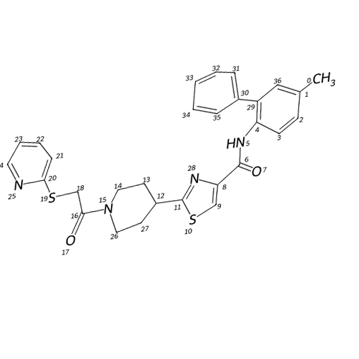 Cc1ccc(NC(=O)c2csc(C3CCN(C(=O)CSc4ccccn4)CC3)n2)c(-c2ccccc2)c1